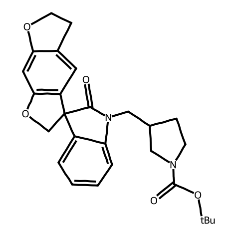 CC(C)(C)OC(=O)N1CCC(CN2C(=O)C3(COc4cc5c(cc43)CCO5)c3ccccc32)C1